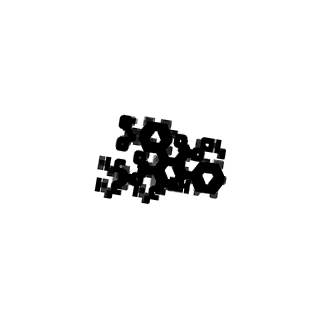 COC(=O)C1=C(c2ccccc2)NC(C)=C(C(=O)OC(C)C)C1c1cccc([N+](=O)[O-])c1